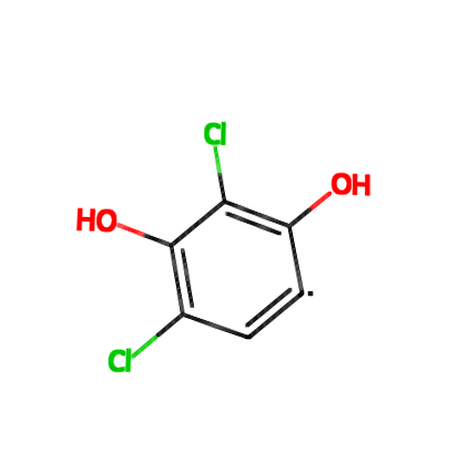 Oc1[c]cc(Cl)c(O)c1Cl